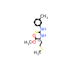 COC(=O)[C@H](CCSC)NC(=S)Nc1cccc(C)c1